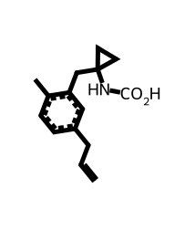 C=CCc1ccc(C)c(CC2(NC(=O)O)CC2)c1